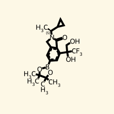 C[C@@H](C1CC1)N1Cc2cc(B3OC(C)(C)C(C)(C)O3)cc(C(O)(CO)C(F)(F)F)c2C1=O